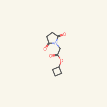 O=C(CN1C(=O)CCC1=O)OC1CCC1